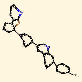 FC(F)(F)c1ccc(-c2ccc3cc(-c4ccc(-c5cccc6c5sc5ncccc56)cc4)cnc3c2)cc1